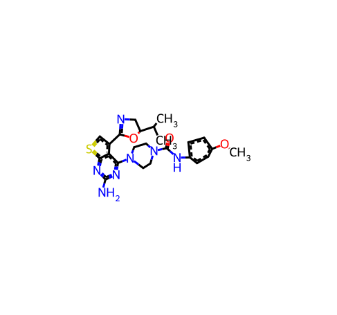 COc1ccc(NC(=O)N2CCN(c3nc(N)nc4scc(C5=NCC(C(C)C)O5)c34)CC2)cc1